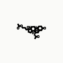 CC(=O)OCCC[C@]1(O)CC[C@H]2[C@@H]3[C@H](SC(C)=O)CC4=CC(=O)CC[C@]4(C)[C@H]3CC[C@@]21C